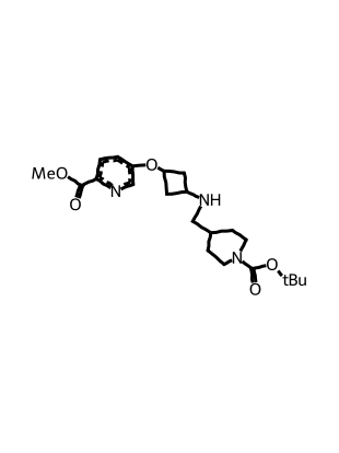 COC(=O)c1ccc(OC2CC(NCC3CCN(C(=O)OC(C)(C)C)CC3)C2)cn1